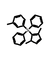 CC1=C([Si](c2ccccc2)(c2ccccc2)c2cccc(C)c2)C(C)C=C1